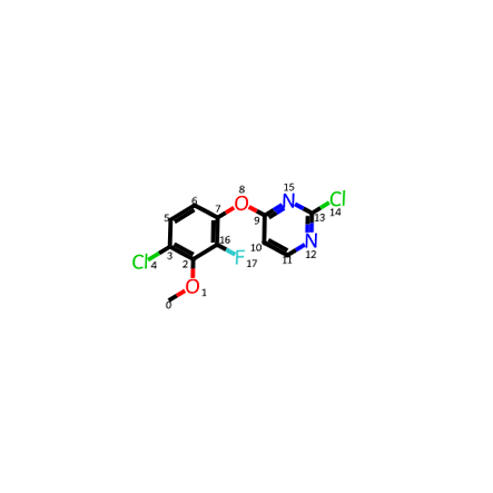 COc1c(Cl)ccc(Oc2ccnc(Cl)n2)c1F